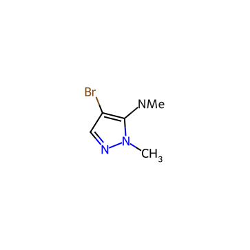 CNc1c(Br)cnn1C